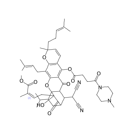 COC(=O)/C(C)=C\CC1(O)C(=O)C2CC(C(C)C)C13Oc1c(CC=C(C)C)c4c(c(OC(=O)CCC(=O)N5CCN(C)CC5)c1C(=O)C3C2C(C#N)C#N)C=CC(C)(CCC=C(C)C)O4